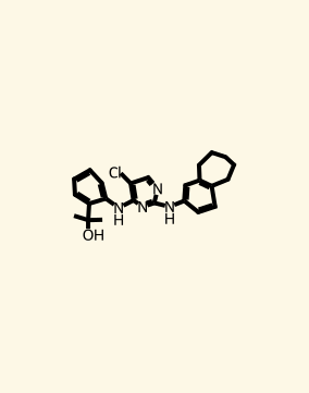 CC(C)(O)c1ccccc1Nc1nc(Nc2ccc3c(c2)CCCCC3)ncc1Cl